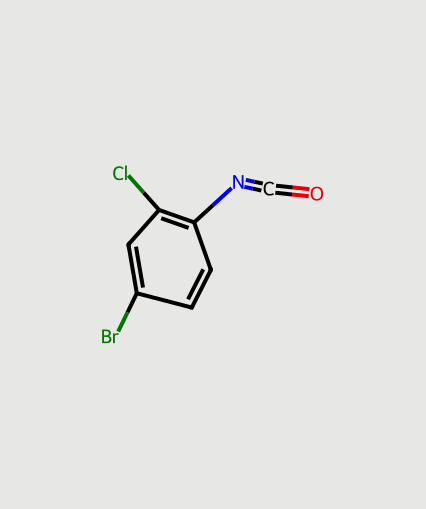 O=C=Nc1ccc(Br)cc1Cl